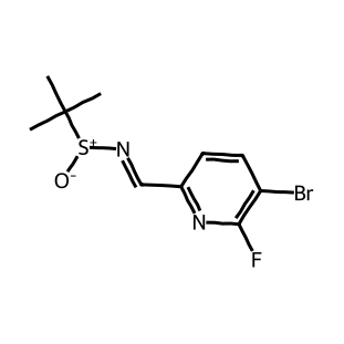 CC(C)(C)[S+]([O-])N=Cc1ccc(Br)c(F)n1